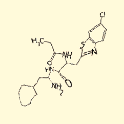 CCC(=O)NC(Cc1nc2ccc(Cl)cc2s1)C(=O)NC(N)CC1CCCCC1